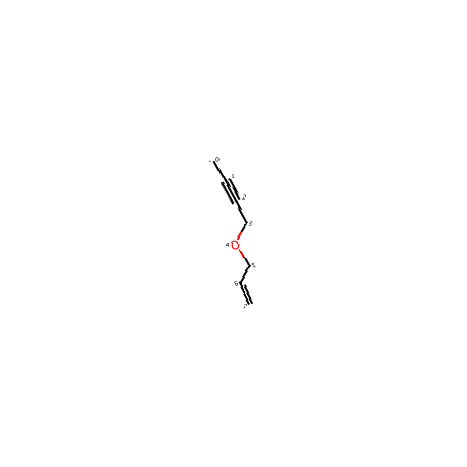 [CH2]C#CCOCC=C